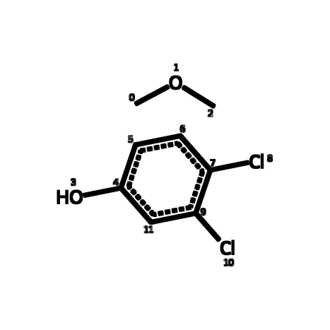 COC.Oc1ccc(Cl)c(Cl)c1